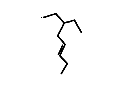 [CH2]CC(CC)CC=CCC